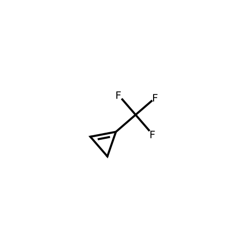 FC(F)(F)C1=CC1